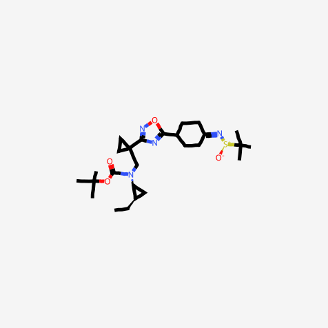 CC[C@@H]1C[C@H]1N(CC1(c2noc(C3CCC(=N[S@+]([O-])C(C)(C)C)CC3)n2)CC1)C(=O)OC(C)(C)C